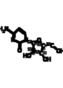 Nc1ccn([13C@@H]2O[13C@H]([13CH2]O)[13C@@H](O)[13C@H]2O)c(=O)n1